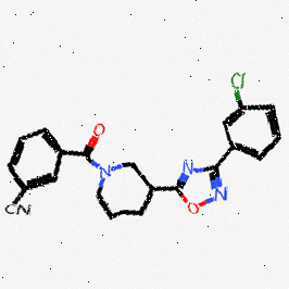 N#Cc1cccc(C(=O)N2CCCC(c3nc(-c4cccc(Cl)c4)no3)C2)c1